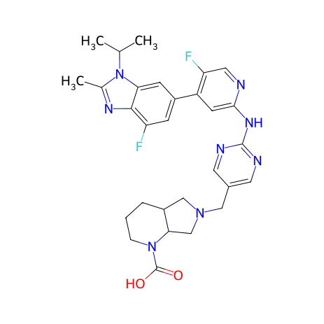 Cc1nc2c(F)cc(-c3cc(Nc4ncc(CN5CC6CCCN(C(=O)O)C6C5)cn4)ncc3F)cc2n1C(C)C